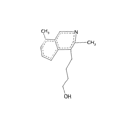 Cc1ncc2c(C)cccc2c1CCCCO